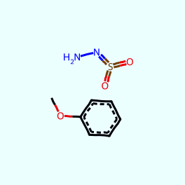 COc1ccccc1.NN=S(=O)=O